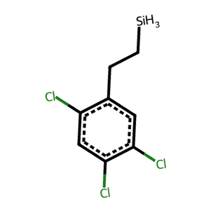 [SiH3]CCc1cc(Cl)c(Cl)cc1Cl